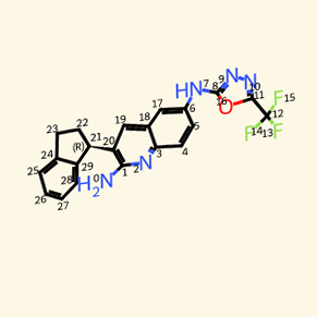 Nc1nc2ccc(Nc3nnc(C(F)(F)F)o3)cc2cc1[C@@H]1CCc2ccccc21